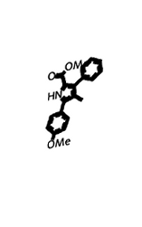 COC(=O)c1[nH]c(-c2ccc(OC)cc2)c(C)c1-c1ccccc1